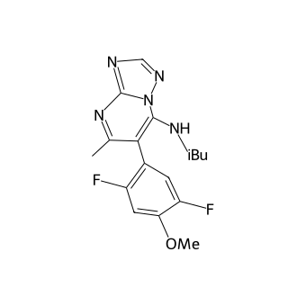 CCC(C)Nc1c(-c2cc(F)c(OC)cc2F)c(C)nc2ncnn12